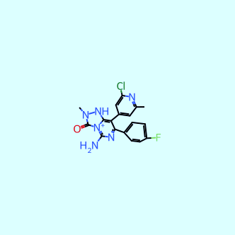 Cc1cc(-c2c(-c3ccc(F)cc3)nc(N)[n+]3c(=O)n(C)[nH]c23)cc(Cl)n1